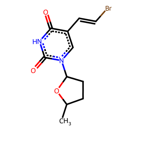 CC1CCC(n2cc(/C=C/Br)c(=O)[nH]c2=O)O1